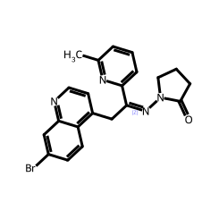 Cc1cccc(/C(Cc2ccnc3cc(Br)ccc23)=N\N2CCCC2=O)n1